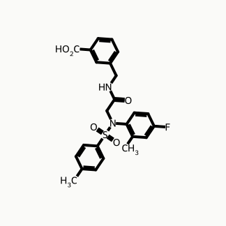 Cc1ccc(S(=O)(=O)N(CC(=O)NCc2cccc(C(=O)O)c2)c2ccc(F)cc2C)cc1